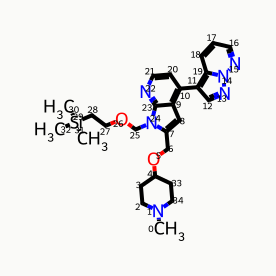 CN1CCC(OCc2cc3c(-c4cnn5ncccc45)ccnc3n2COCC[Si](C)(C)C)CC1